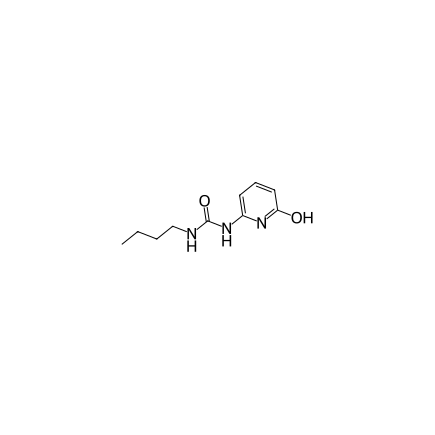 CCCCNC(=O)Nc1cccc(O)n1